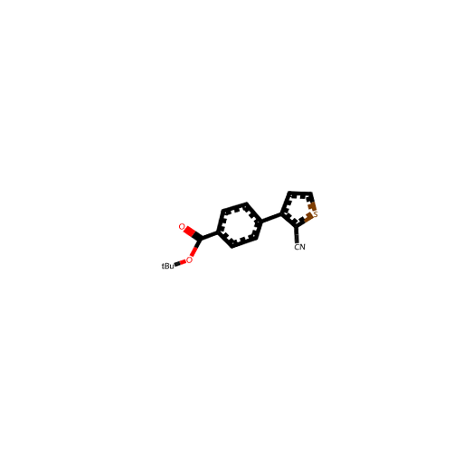 CC(C)(C)OC(=O)c1ccc(-c2ccsc2C#N)cc1